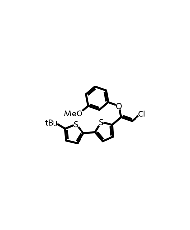 COc1cccc(O/C(=C\Cl)c2ccc(-c3ccc(C(C)(C)C)s3)s2)c1